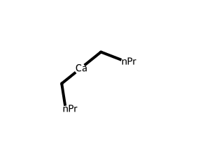 CCC[CH2][Ca][CH2]CCC